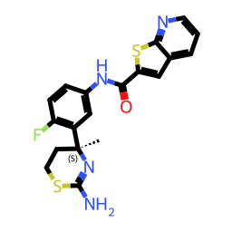 C[C@@]1(c2cc(NC(=O)c3cc4cccnc4s3)ccc2F)CCSC(N)=N1